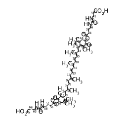 CC1=C(/C=C/C(C)=C/C=C/C(C)=C/C=C/C=C(C)/C=C/C=C(C)/C=C/C2=C(C)C(=O)C(OC(=O)CCCNC(=O)NCCC(=O)O)CC2(C)C)C(C)(C)CC(OC(=O)CCCNC(=O)NCCC(=O)O)C1=O